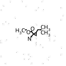 CCOC(=O)C1(C#N)CC1CC(C)C